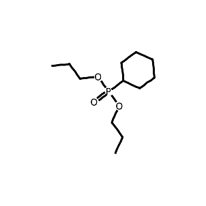 CCCOP(=O)(OCCC)C1CCCCC1